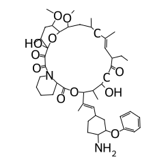 CCC1/C=C(\C)CC(C)CC(OC)C2OC(O)(C(=O)C(=O)N3CCCCC3C(=O)OC(C(C)=CC3CCC(N)C(Oc4ccccc4)C3)C(C)C(O)CC1=O)C(C)CC2OC